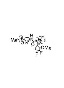 CNS(=O)(=O)c1ccc(NC(=O)[C@@H]2O[C@@](C)(C(F)(F)F)[C@@H](C)[C@H]2c2ccc(F)c(F)c2OC)cn1